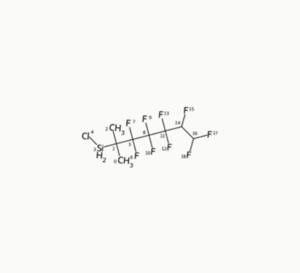 CC(C)([SiH2]Cl)C(F)(F)C(F)(F)C(F)(F)C(F)C(F)F